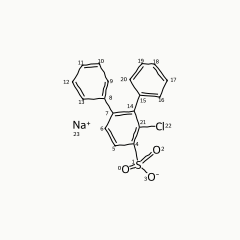 O=S(=O)([O-])c1ccc(-c2ccccc2)c(-c2ccccc2)c1Cl.[Na+]